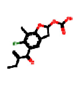 C=C(CC)C(=O)c1cc2c(c(C)c1Cl)OC(OC(=O)O)C2